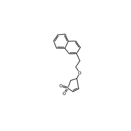 O=S1(=O)C=CC(OCCc2ccc3ccccc3c2)C1